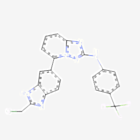 FC(F)(F)c1ccc(Nc2nc3cccc(-c4ccc5nc(CCl)[nH]c5c4)n3n2)cc1